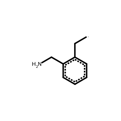 [CH2]Cc1ccccc1CN